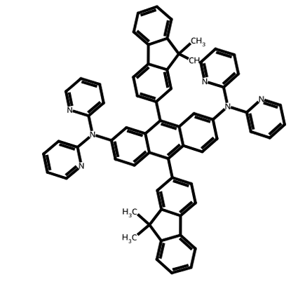 CC1(C)c2ccccc2-c2ccc(-c3c4ccc(N(c5ccccn5)c5ccccn5)cc4c(-c4ccc5c(c4)C(C)(C)c4ccccc4-5)c4cc(N(c5ccccn5)c5ccccn5)ccc34)cc21